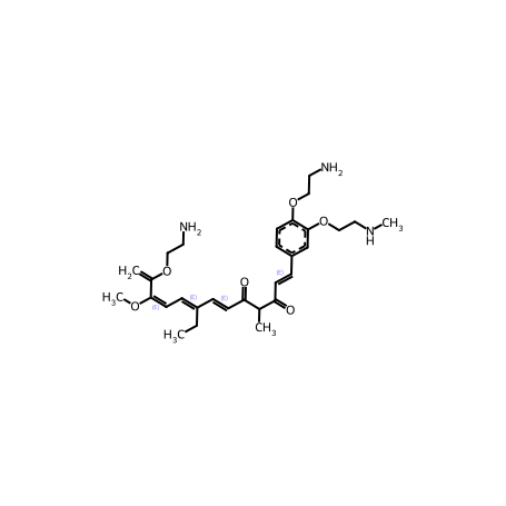 C=C(OCCN)\C(=C/C=C(/C=C/C(=O)C(C)C(=O)/C=C/c1ccc(OCCN)c(OCCNC)c1)CC)OC